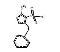 NS(=O)(=O)c1c([N+](=O)[O-])ncn1Cc1ccccc1